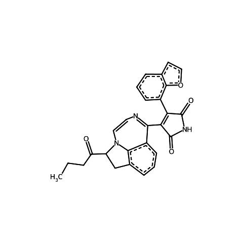 CCCC(=O)C1Cc2cccc3c2N1C=CN=C3C1=C(c2cccc3ccoc23)C(=O)NC1=O